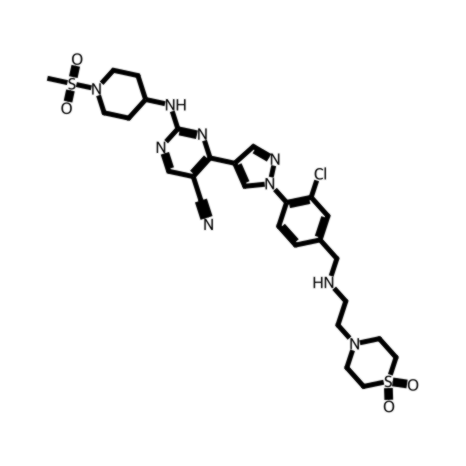 CS(=O)(=O)N1CCC(Nc2ncc(C#N)c(-c3cnn(-c4ccc(CNCCN5CCS(=O)(=O)CC5)cc4Cl)c3)n2)CC1